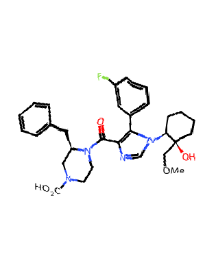 COC[C@@]1(O)CCCC[C@@H]1n1cnc(C(=O)N2CCN(C(=O)O)C[C@H]2Cc2ccccc2)c1-c1cccc(F)c1